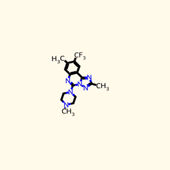 Cc1nc2c3cc(C(F)(F)F)c(C)cc3nc(N3CCN(C)CC3)n2n1